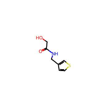 O=C(CO)NCc1ccsc1